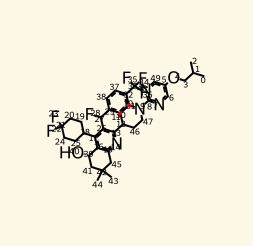 CC(C)COc1cnc(N2CCC(c3nc4c(c(C5CCC(F)(F)CC5)c3C(F)c3ccc(C(F)(F)F)cc3)[C@@H](O)CC(C)(C)C4)CC2)nc1